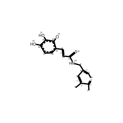 C=C(C)/C(C)=C\C(=C/C)CNC(=S)/C=C/c1ccc(O)c(O)c1Cl